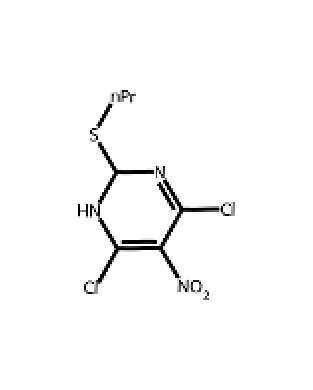 CCCSC1N=C(Cl)C([N+](=O)[O-])=C(Cl)N1